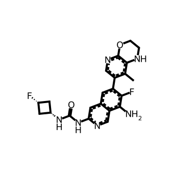 Cc1c(-c2cc3cc(NC(=O)N[C@H]4C[C@@H](F)C4)ncc3c(N)c2F)cnc2c1NCCO2